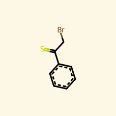 S=C(CBr)c1ccccc1